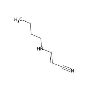 CCCCNC=CC#N